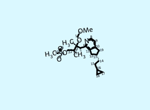 COCO[C@](C)(Cc1nccc2c1C[C@@H](CCC1CC1)C2)[C@@H](C)COS(C)(=O)=O